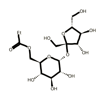 CCC(=O)OC[C@H]1O[C@H](O[C@]2(CO)O[C@H](CO)[C@@H](O)[C@@H]2O)[C@H](O)[C@@H](O)[C@@H]1O